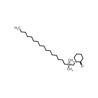 CCCCCCCCCCCCCCCC[N+](C)(C)CN1CCCCC1=O